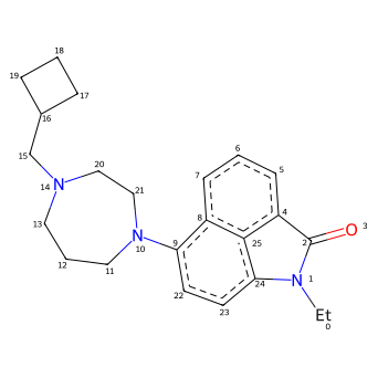 CCN1C(=O)c2cccc3c(N4CCCN(CC5CCC5)CC4)ccc1c23